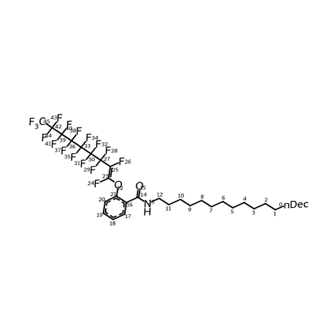 CCCCCCCCCCCCCCCCCCCCCCNC(=O)c1ccccc1OC(F)=C(F)C(F)(F)C(F)(F)C(F)(F)C(F)(F)C(F)(F)C(F)(F)C(F)(F)F